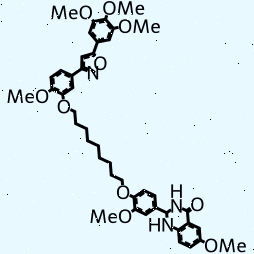 COc1ccc2c(c1)C(=O)NC(c1ccc(OCCCCCCCCCOc3cc(-c4cc(-c5cc(OC)c(OC)c(OC)c5)on4)ccc3OC)c(OC)c1)N2